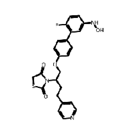 O=C1CSC(=O)N1C(CCc1ccncc1)COc1ccc(-c2cc(NO)ccc2F)cc1